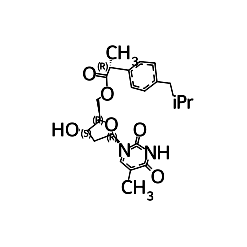 Cc1cn([C@H]2C[C@H](O)[C@@H](COC(=O)[C@H](C)c3ccc(CC(C)C)cc3)O2)c(=O)[nH]c1=O